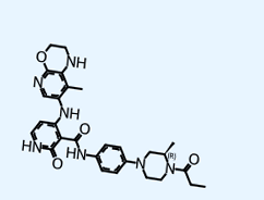 CCC(=O)N1CCN(c2ccc(NC(=O)c3c(Nc4cnc5c(c4C)NCCO5)cc[nH]c3=O)cc2)C[C@H]1C